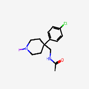 CC(=O)NCC1(c2ccc(Cl)cc2)CCN(I)CC1